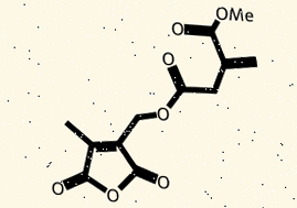 C=C(CC(=O)OCC1=C(C)C(=O)OC1=O)C(=O)OC